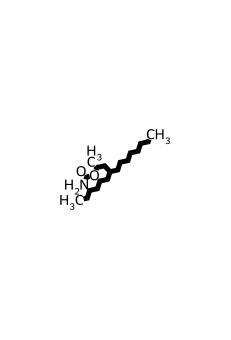 CCCCCCCCC(CCCCCC)CC(C)OC(N)=O